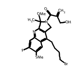 C=C(CO)C(=O)N1Cc2c(nc3cc(F)c(SC)cc3c2CCCCBr)C1(C)OC